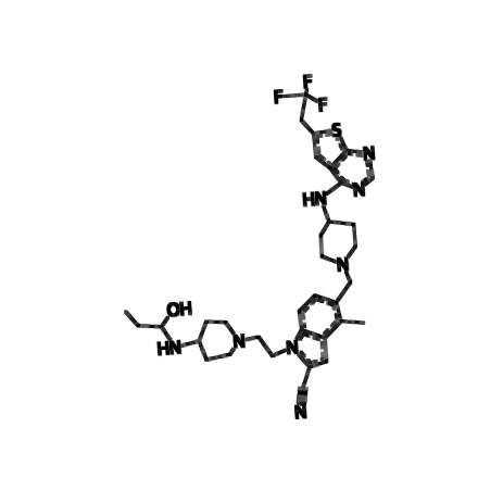 CCC(O)NC1CCN(CCn2c(C#N)cc3c(C)c(CN4CCC(Nc5ncnc6sc(CC(F)(F)F)cc56)CC4)ccc32)CC1